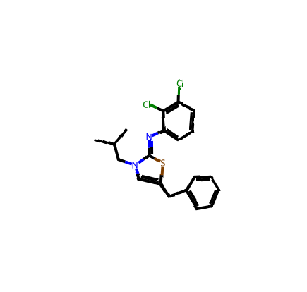 CC(C)Cn1cc(Cc2ccccc2)sc1=Nc1cccc(Cl)c1Cl